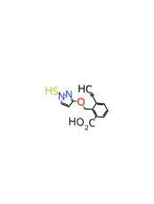 C#Cc1cccc(C(=O)O)c1COc1ccn(S)n1